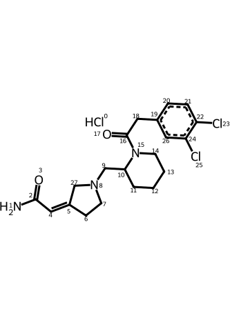 Cl.NC(=O)/C=C1/CCN(CC2CCCCN2C(=O)Cc2ccc(Cl)c(Cl)c2)C1